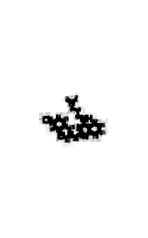 CN(C)CCCNc1nc(CN(C)Cc2ccc(Cl)cc2Cl)nc2ccccc12